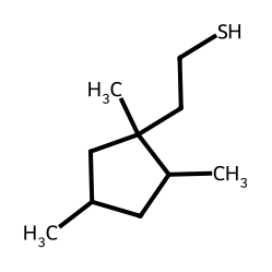 CC1CC(C)C(C)(CCS)C1